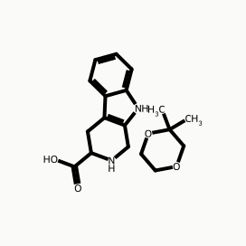 CC1(C)COCCO1.O=C(O)C1Cc2c([nH]c3ccccc23)CN1